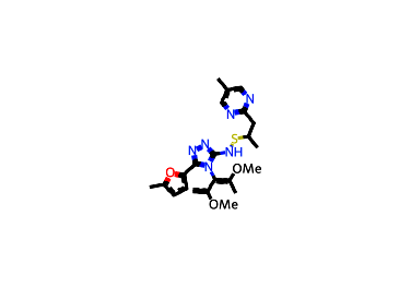 C=C(OC)/C(=C(\C)OC)n1c(NSC(C)Cc2ncc(C)cn2)nnc1-c1ccc(C)o1